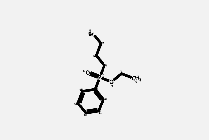 CCOP(=O)(CCCBr)c1ccccc1